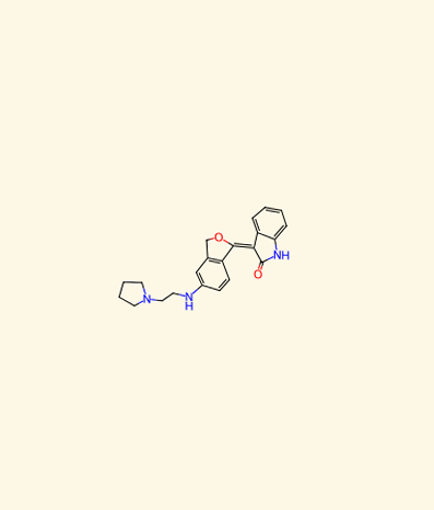 O=C1Nc2ccccc2C1=C1OCc2cc(NCCN3CCCC3)ccc21